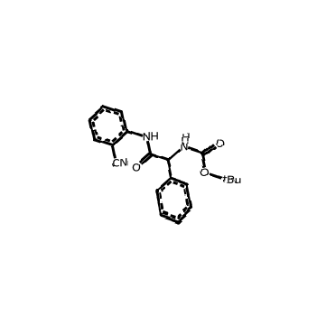 CC(C)(C)OC(=O)NC(C(=O)Nc1ccccc1C#N)c1ccccc1